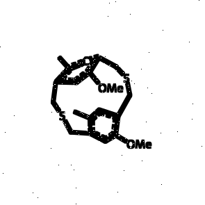 COc1cc2c(C)cc1CSCc1cc(C)c(cc1OC)CSC2